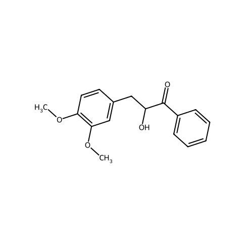 COc1ccc(CC(O)C(=O)c2ccccc2)cc1OC